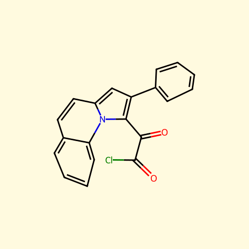 O=C(Cl)C(=O)c1c(-c2ccccc2)cc2ccc3ccccc3n12